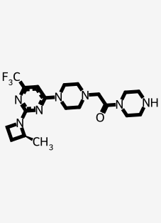 C[C@H]1CCN1c1nc(N2CCN(CC(=O)N3CCNCC3)CC2)cc(C(F)(F)F)n1